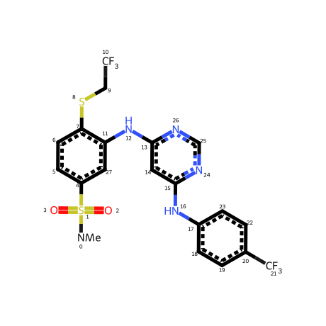 CNS(=O)(=O)c1ccc(SCC(F)(F)F)c(Nc2cc(Nc3ccc(C(F)(F)F)cc3)ncn2)c1